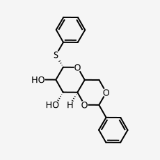 OC1[C@@H](O)[C@@H]2OC(c3ccccc3)OCC2O[C@H]1Sc1ccccc1